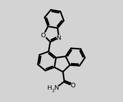 NC(=O)C1c2ccccc2-c2c(-c3nc4ccccc4o3)cccc21